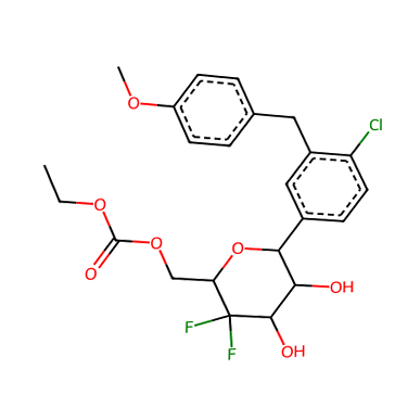 CCOC(=O)OCC1OC(c2ccc(Cl)c(Cc3ccc(OC)cc3)c2)C(O)C(O)C1(F)F